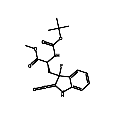 COC(=O)[C@H](CC1(F)C(=C=O)Nc2ccccc21)NC(=O)OC(C)(C)C